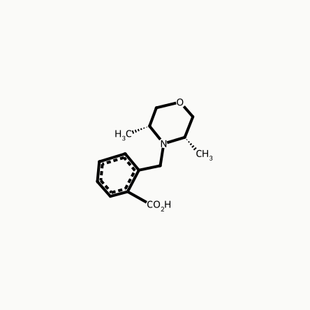 C[C@@H]1COC[C@H](C)N1Cc1ccccc1C(=O)O